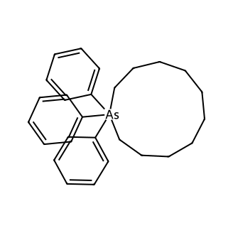 c1ccc([As]2(c3ccccc3)(c3ccccc3)CCCCCCCCCC2)cc1